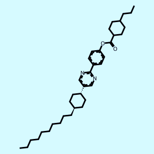 CCCCCCCCCC[C@H]1CC[C@H](c2cnc(-c3ccc(OC(=O)C4CCC(CCC)CC4)cc3)nc2)CC1